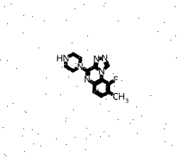 Cc1ccc2nc(N3CCNCC3)c3nncn3c2c1F